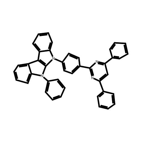 c1ccc(-c2cc(-c3ccccc3)nc(-c3ccc(-n4c5ccccc5c5c6ccccc6n(-c6ccccc6)c54)cc3)n2)cc1